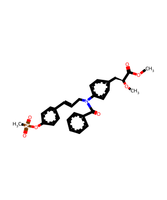 COC(=O)[C@H](Cc1ccc(N(C/C=C/c2ccc(OS(C)(=O)=O)cc2)C(=O)c2ccccc2)cc1)OC